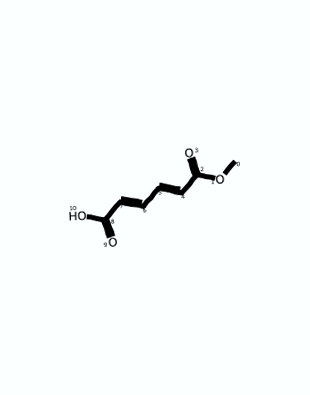 COC(=O)C=CC=CC(=O)O